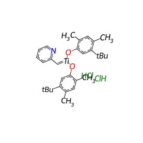 Cc1cc(C)c(C(C)(C)C)cc1[O][Ti](=[CH]c1ccccn1)[O]c1cc(C(C)(C)C)c(C)cc1C.Cl.Cl